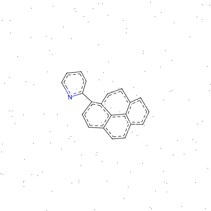 c1ccc(-c2ccc3ccc4cccc5ccc2c3c45)nc1